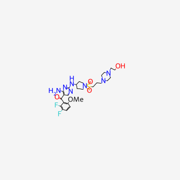 COc1ccc(F)c(F)c1C(=O)c1cnc(NC2CCN(S(=O)(=O)CCCN3CCN(CCO)CC3)CC2)nc1N